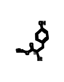 CC[C@H](Cc1ccc(O)cc1)C(=O)OC(C)(C)C